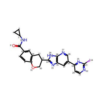 O=C(NC1CC1)c1ccc2c(c1)CC(c1nc3cc(-c4ccnc(I)n4)cnc3[nH]1)CO2